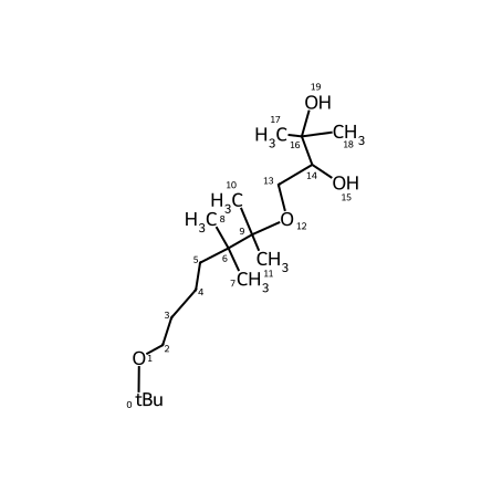 CC(C)(C)OCCCCC(C)(C)C(C)(C)OCC(O)C(C)(C)O